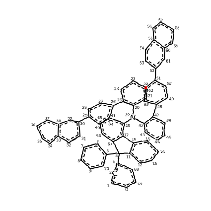 c1ccc(C2(c3ccccc3)c3ccccc3-c3c(N(c4ccccc4-c4ccc(-c5ccc6ccccc6c5)cc4)c4ccccc4-c4ccc(-c5ccc6ccccc6c5)cc4)cccc32)cc1